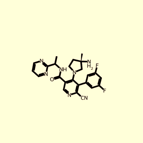 CC(NC(=O)c1cnc(C#N)c(-c2cc(F)cc(F)c2)c1N1CC[C@](C)(N)C1)c1ncccn1